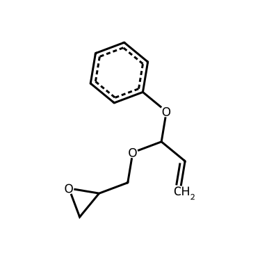 C=CC(OCC1CO1)Oc1ccccc1